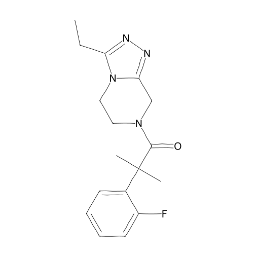 CCc1nnc2n1CCN(C(=O)C(C)(C)c1ccccc1F)C2